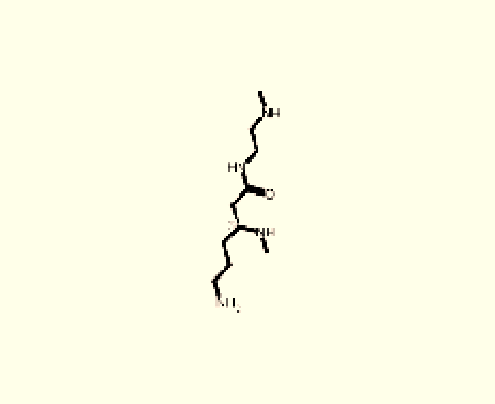 CNCCNC(=O)C[C@H](CCCN)NC